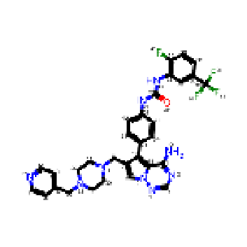 Nc1ncnn2cc(CN3CCN(Cc4ccncc4)CC3)c(-c3ccc(NC(=O)Nc4cc(C(F)(F)F)ccc4F)cc3)c12